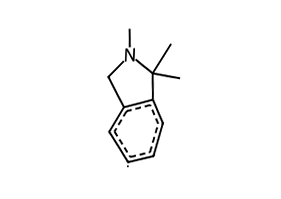 CN1Cc2c[c]ccc2C1(C)C